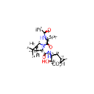 CC(C)C(=O)N[C@H](C(=O)N1C[C@H]2[C@@H]([C@H]1C(=O)NC(CC1CC1)C(O)C(=O)O)C2(C)C)C(C)C